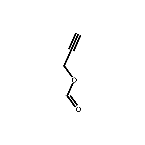 C#CCO[C]=O